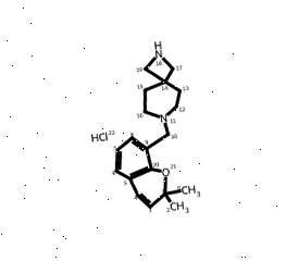 CC1(C)C=Cc2cccc(CN3CCC4(CC3)CNC4)c2O1.Cl